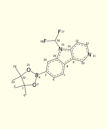 CC1(C)OB(c2ccc3c4cnccc4n(C(F)F)c3c2)OC1(C)C